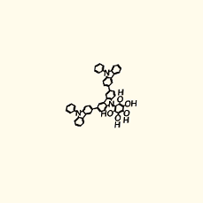 Oc1c(O)c(O)c(-n2c3ccc(-c4ccc5c(c4)c4ccccc4n5-c4ccccc4)cc3c3cc(-c4ccc5c(c4)c4ccccc4n5-c4ccccc4)ccc32)c(O)c1O